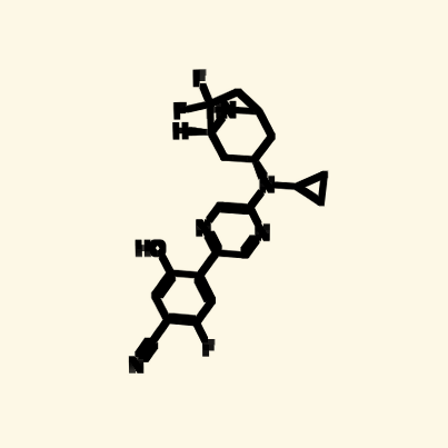 N#Cc1cc(O)c(-c2cnc(N(C3CC3)[C@@H]3CC4CC(F)(F)[C@@H](C3)N4)cn2)cc1F